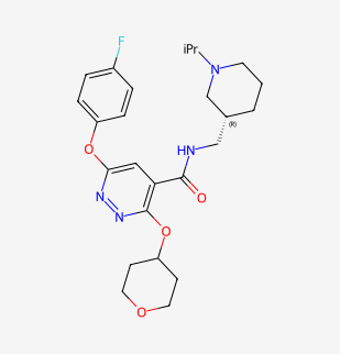 CC(C)N1CCC[C@H](CNC(=O)c2cc(Oc3ccc(F)cc3)nnc2OC2CCOCC2)C1